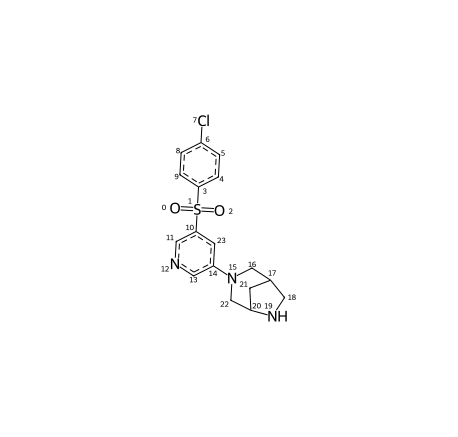 O=S(=O)(c1ccc(Cl)cc1)c1cncc(N2CC3CNC(C3)C2)c1